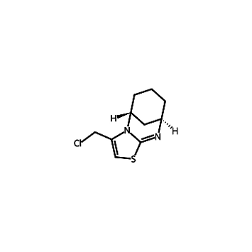 ClCC1=CSC2=N[C@@H]3CCC[C@H](C3)N12